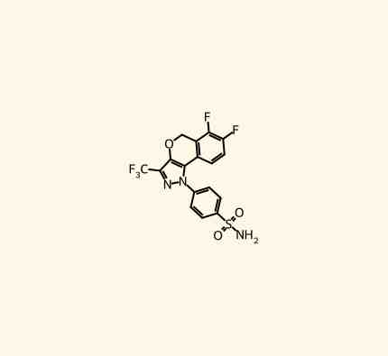 NS(=O)(=O)c1ccc(-n2nc(C(F)(F)F)c3c2-c2ccc(F)c(F)c2CO3)cc1